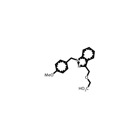 COc1ccc(Cn2nc(COCC(=O)O)c3ccccc32)cc1